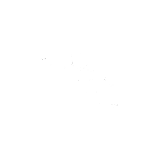 CNS(=O)(=O)c1nnc(-c2ccc(N3C[C@H](CNC(C)=O)OC3=O)cc2F)s1